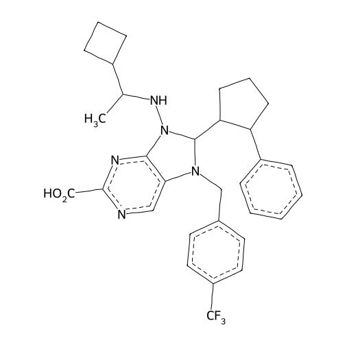 CC(NN1c2nc(C(=O)O)ncc2N(Cc2ccc(C(F)(F)F)cc2)C1C1CCCC1c1ccccc1)C1CCC1